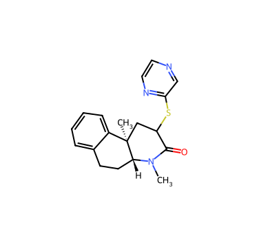 CN1C(=O)C(Sc2cnccn2)C[C@]2(C)c3ccccc3CC[C@@H]12